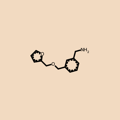 NCc1cccc(COCc2ccco2)c1